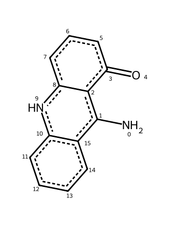 Nc1c2c(=O)cccc-2[nH]c2ccccc12